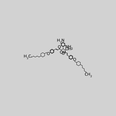 C=CCCCCC1CCC(COc2ccc(/C=C/C(=O)C(O)C(c3ccc(N)cc3N)C(O)C(=O)/C=C/c3ccc(OCC4CCC(CCCCC=C)CC4)cc3)cc2)CC1